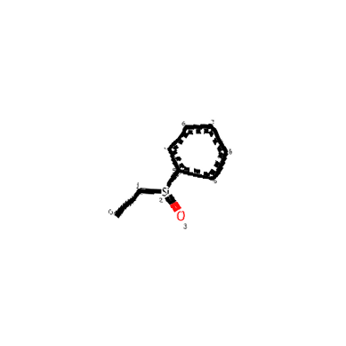 CC[Si](=O)c1ccccc1